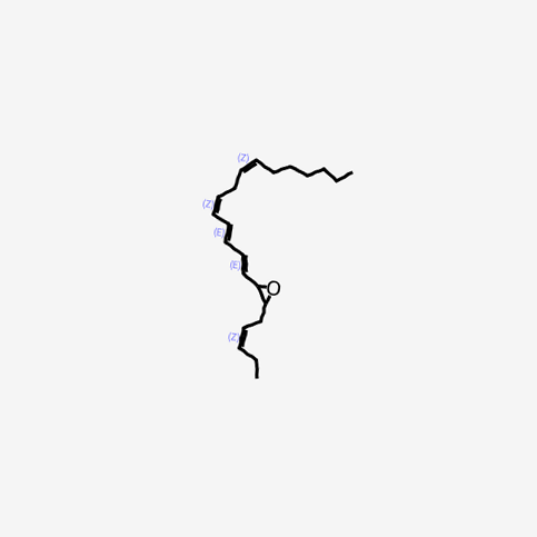 CC/C=C\CC1OC1/C=C/C=C/C=C\C/C=C\CCCCCC